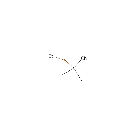 CCSC(C)(C)C#N